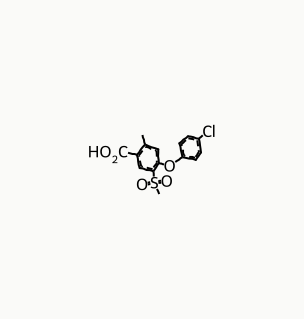 Cc1cc(Oc2ccc(Cl)cc2)c(S(C)(=O)=O)cc1C(=O)O